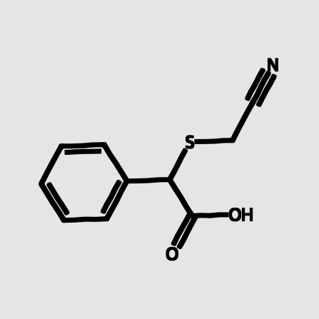 N#CCSC(C(=O)O)c1ccccc1